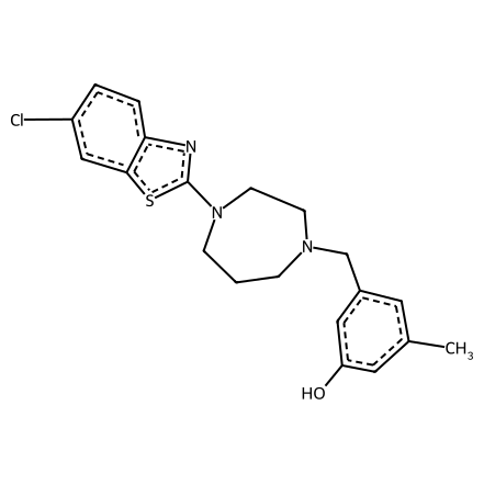 Cc1cc(O)cc(CN2CCCN(c3nc4ccc(Cl)cc4s3)CC2)c1